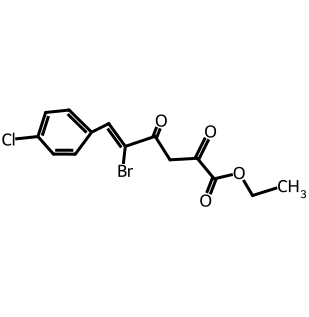 CCOC(=O)C(=O)CC(=O)C(Br)=Cc1ccc(Cl)cc1